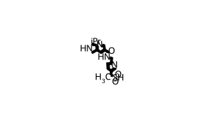 CC(C)[C@@H]1NCc2cc(C(=O)NCc3ccc(C(C)[SH](=O)=O)cn3)cnc21